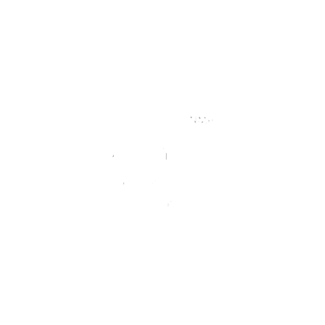 CNC[SH]1CCOC1=O